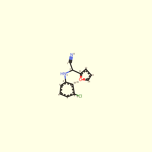 N#CC(Nc1cccc(Cl)c1)c1ccco1